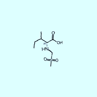 CCC(C)[C@@H](NCS(C)(=O)=O)C(=O)O